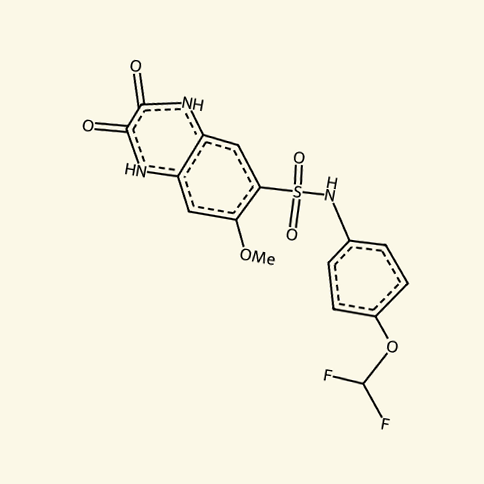 COc1cc2[nH]c(=O)c(=O)[nH]c2cc1S(=O)(=O)Nc1ccc(OC(F)F)cc1